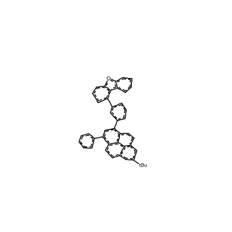 CC(C)(C)c1cc2ccc3c(-c4ccccc4)cc(-c4cccc(-c5cccc6oc7ccccc7c56)c4)c4ccc(c1)c2c34